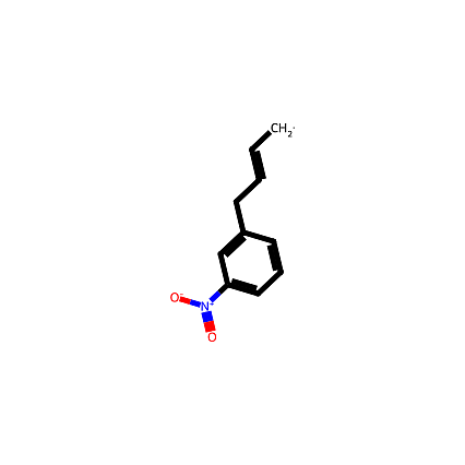 [CH2]C=CCc1cccc([N+](=O)[O-])c1